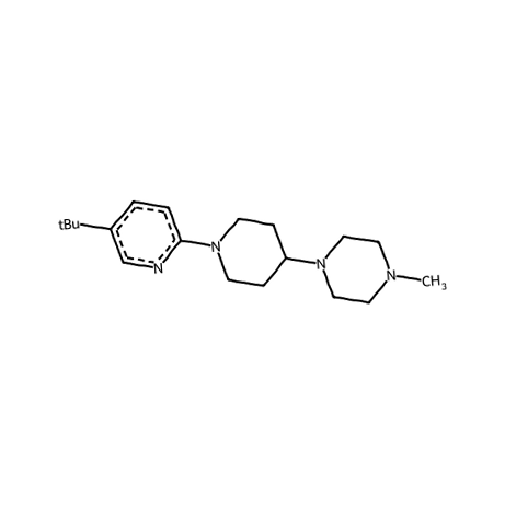 CN1CCN(C2CCN(c3ccc(C(C)(C)C)cn3)CC2)CC1